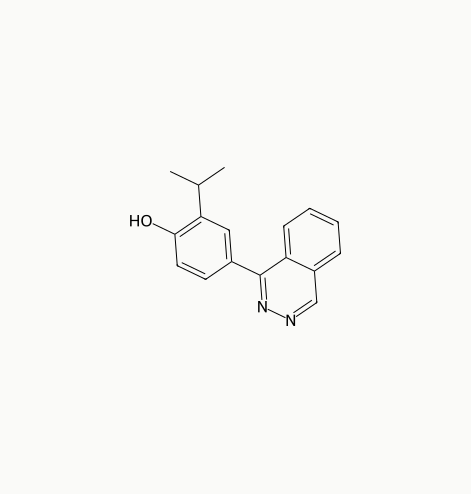 CC(C)c1cc(-c2nncc3ccccc23)ccc1O